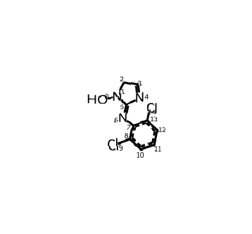 ON1CC=NC1=Nc1c(Cl)cccc1Cl